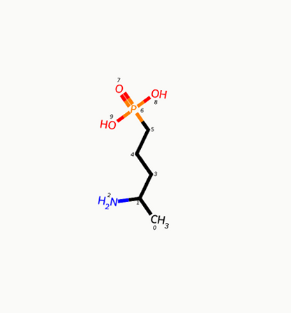 CC(N)CCCP(=O)(O)O